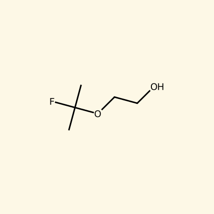 CC(C)(F)OCCO